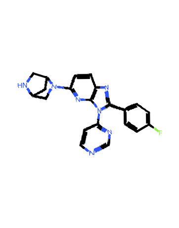 Fc1ccc(-c2nc3ccc(N4CC5CC4CN5)nc3n2-c2ccncn2)cc1